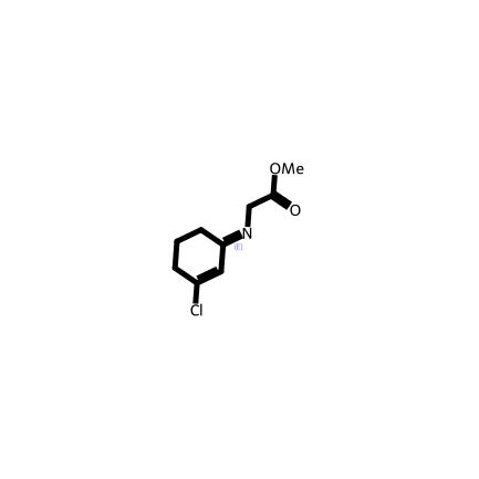 COC(=O)C/N=C1/C=C(Cl)CCC1